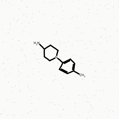 Cc1ccc(N2CCC(N)CC2)cc1